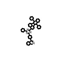 c1ccc(-c2nc(-c3ccc(-c4cncc5ccccc45)cc3)nc(-c3ccc4c5c(cccc35)-c3c-4c(-c4ccccc4)c4ccccc4c3-c3ccccc3)n2)cc1